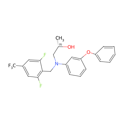 C[C@H](O)CN(Cc1c(F)cc(C(F)(F)F)cc1F)c1cccc(Oc2ccccc2)c1